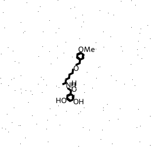 COc1ccc(CCOCCCCCC(C)NCC(O)c2cc(O)cc(O)c2)cc1